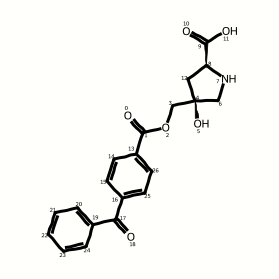 O=C(OC[C@@]1(O)CN[C@H](C(=O)O)C1)c1ccc(C(=O)c2ccccc2)cc1